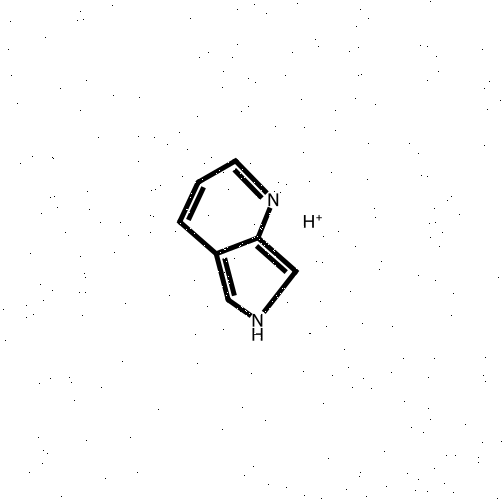 [H+].c1cnc2c[nH]cc2c1